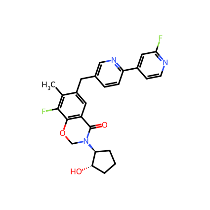 Cc1c(Cc2ccc(-c3ccnc(F)c3)nc2)cc2c(c1F)OCN([C@H]1CCC[C@@H]1O)C2=O